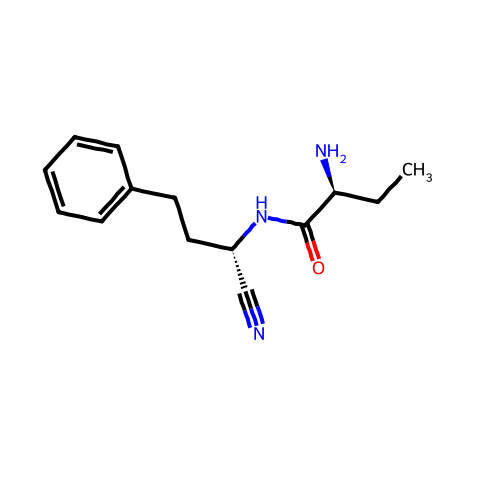 CC[C@H](N)C(=O)N[C@H](C#N)CCc1ccccc1